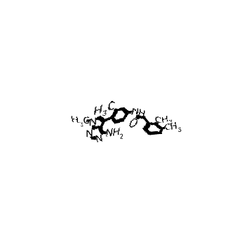 Cc1cc(NC(=O)Cc2cccc(C)c2C)ccc1-c1cn(C)c2ncnc(N)c12